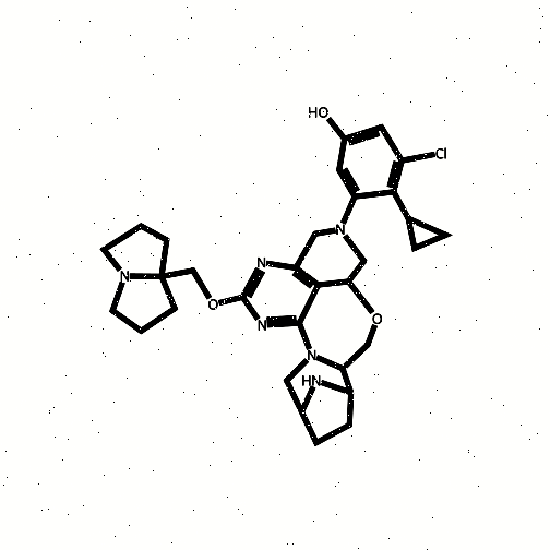 Oc1cc(Cl)c(C2CC2)c(N2Cc3nc(OCC45CCCN4CCC5)nc4c3C(C2)OCC2C3CCC(CN42)N3)c1